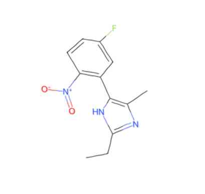 CCc1nc(C)c(-c2cc(F)ccc2[N+](=O)[O-])[nH]1